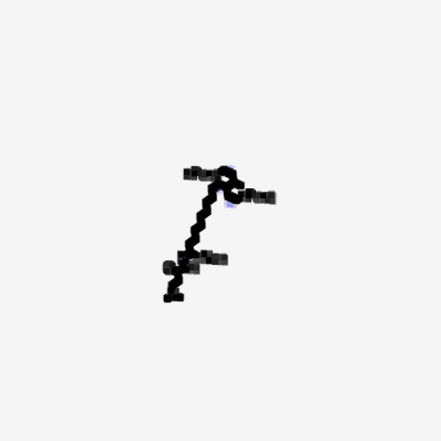 CCCCC/C=C\C(C)C(/C=C\CCCCC)/C=C\CCCCCCCC/C(CCCCCCCCC)=N/NC(=O)CCN(C)C